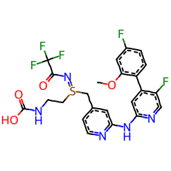 COc1cc(F)ccc1-c1cc(Nc2cc(C/S(CCNC(=O)O)=N/C(=O)C(F)(F)F)ccn2)ncc1F